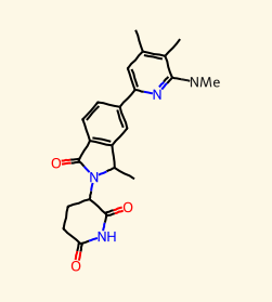 CNc1nc(-c2ccc3c(c2)C(C)N(C2CCC(=O)NC2=O)C3=O)cc(C)c1C